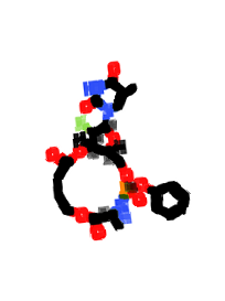 Cc1cn([C@H]2O[C@H]3CO[P@@](=O)(Oc4ccccc4)N[C@@H](C)C(=O)OCCCC(=O)O[C@@H]3[C@H]2F)c(=O)[nH]c1=O